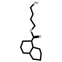 O=C(OCCCCO)C1CCCC2CCCCC21